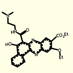 CCOC(=O)c1cc2nc3c(C(=O)NCCN(C)C)c(O)c4ccccc4c3nc2cc1OCC